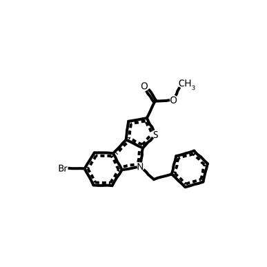 COC(=O)c1cc2c3cc(Br)ccc3n(Cc3ccccc3)c2s1